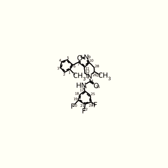 Cc1ccccc1-c1onc2c1CN(C(=O)Nc1cc(F)c(F)c(F)c1)C(C)C2